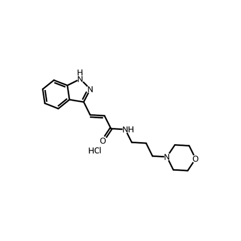 Cl.O=C(C=Cc1n[nH]c2ccccc12)NCCCN1CCOCC1